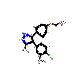 COc1cc(-c2c(C(F)(F)F)n[nH]c2-c2ccc(SCOC(C)=O)cc2)ccc1Br